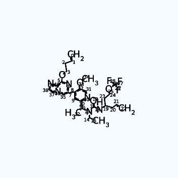 C=CCCOc1nc(-c2cc([C@@H](C)N(CC)C(=O)NC(CC=C)CCOC(F)(F)F)ncc2OC)cn2ccnc12